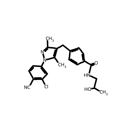 Cc1nn(-c2ccc(C#N)c(Cl)c2)c(C)c1Cc1ccc(C(=O)NCC(C)O)cc1